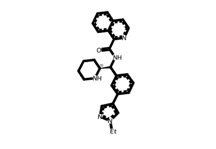 CCn1cc(-c2cccc(C(NC(=O)c3nccc4ccccc34)[C@@H]3CCCCN3)c2)cn1